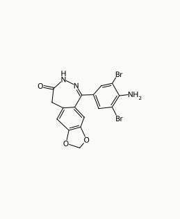 Nc1c(Br)cc(C2=NNC(=O)Cc3cc4c(cc32)OCO4)cc1Br